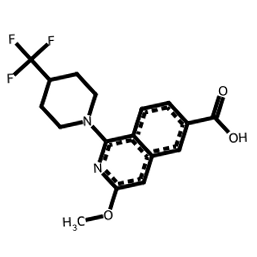 COc1cc2cc(C(=O)O)ccc2c(N2CCC(C(F)(F)F)CC2)n1